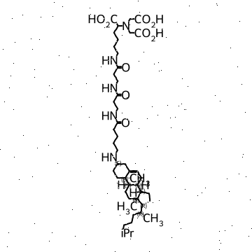 CC(C)CCC[C@@H](C)[C@H]1CC[C@H]2[C@@H]3CC=C4C[C@@H](NCCCCC(=O)NCCC(=O)NCCC(=O)NCCCCC(C(=O)O)N(CC(=O)O)CC(=O)O)CC[C@]4(C)[C@H]3CC[C@]12C